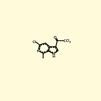 Cc1nc(Cl)cc2c(C(=O)C(Cl)(Cl)Cl)c[nH]c12